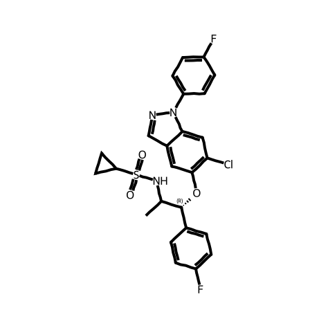 CC(NS(=O)(=O)C1CC1)[C@H](Oc1cc2cnn(-c3ccc(F)cc3)c2cc1Cl)c1ccc(F)cc1